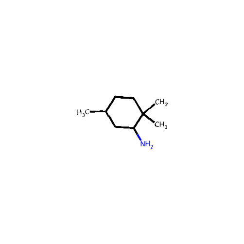 CC1CCC(C)(C)C(N)C1